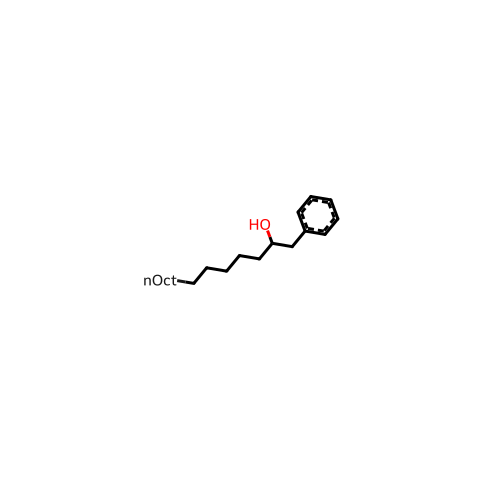 CCCCCCCCCCCCCC(O)Cc1ccccc1